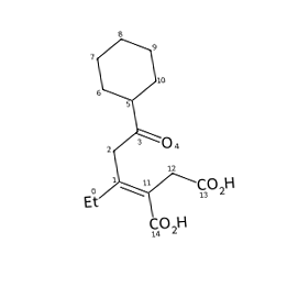 CCC(CC(=O)C1CCCCC1)=C(CC(=O)O)C(=O)O